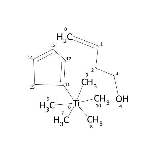 C=CCCO.[CH3][Ti]([CH3])([CH3])([CH3])([CH3])[C]1=CC=CC1